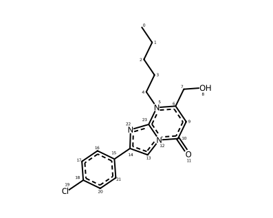 CCCCCn1c(CO)cc(=O)n2cc(-c3ccc(Cl)cc3)nc12